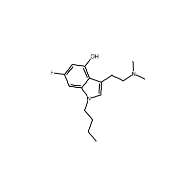 CCCCn1cc(CCN(C)C)c2c(O)cc(F)cc21